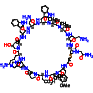 CCCC[C@H]1C(=O)N(C)[C@@H](CCCC)C(=O)N[C@@H](CCCN)C(=O)N[C@H](C(=O)NCC(N)=O)CSCC(=O)N[C@@H](Cc2ccc(OC)cc2)C(=O)N(C)[C@@H](C)C(=O)N[C@@H](CC(=O)O)C(=O)N2CCC[C@H]2C(=O)N[C@@H](Cc2cnc[nH]2)C(=O)N[C@@H](CCCCN)C(=O)N2C[C@H](O)C[C@H]2C(=O)N[C@@H](Cc2c[nH]c3ccccc23)C(=O)N[C@@H](CCN)C(=O)N[C@@H](Cc2c[nH]c3ccccc23)C(=O)N1C